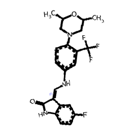 CC1CN(c2ccc(N/C=C3/C(=O)Nc4ccc(F)cc43)cc2C(F)(F)F)CC(C)O1